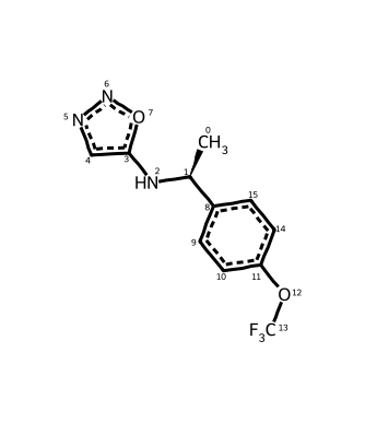 C[C@H](Nc1cnno1)c1ccc(OC(F)(F)F)cc1